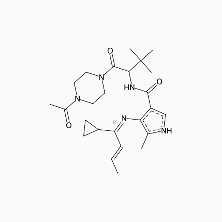 CC=C/C(=N\c1c(C(=O)NC(C(=O)N2CCN(C(C)=O)CC2)C(C)(C)C)c[nH]c1C)C1CC1